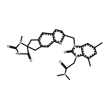 Cc1cc(C)c2c(c1)n(Cc1ccc3cc4c(cc3n1)CC1(C4)C(=O)NC(=O)N1C)c(=O)n2CC(=O)N(C)C